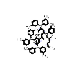 C/C=C\C=C(\C)CN(/C(=C/C(=C\C)N(c1cccc(C)c1)c1cccc(C)c1)CC(=O)/C(=C/C(=C\C)N(c1cccc(C)c1)c1cccc(C)c1)C(C)CN(c1cccc(C)c1)c1cccc(C)c1)c1cccc(C)c1